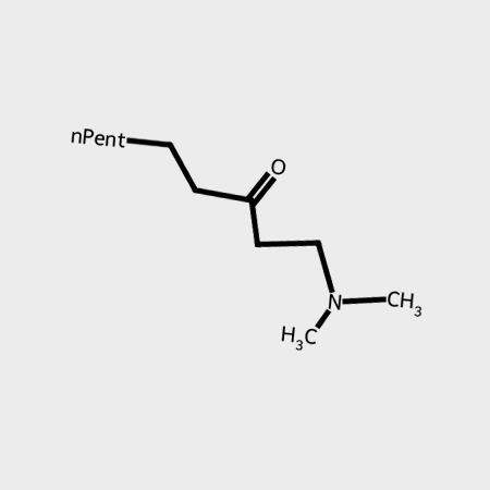 CCCCCCCC(=O)CCN(C)C